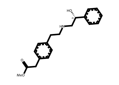 COC(=O)Cc1ccc(CCNC[C@H](O)c2ccccc2)cc1